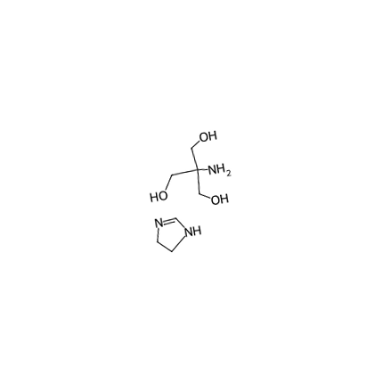 C1=NCCN1.NC(CO)(CO)CO